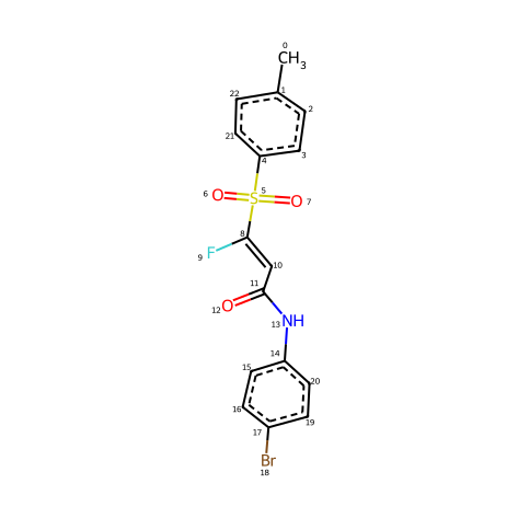 Cc1ccc(S(=O)(=O)C(F)=CC(=O)Nc2ccc(Br)cc2)cc1